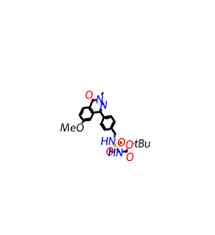 COc1ccc2c(=O)n(C)nc(-c3ccc(CNS(=O)(=O)NC(=O)OC(C)(C)C)cc3)c2c1